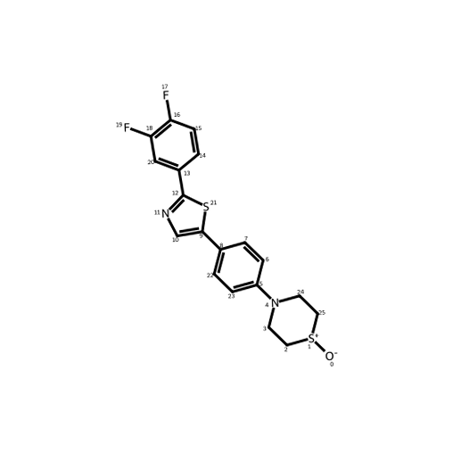 [O-][S+]1CCN(c2ccc(-c3cnc(-c4ccc(F)c(F)c4)s3)cc2)CC1